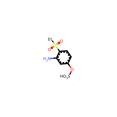 CCS(=O)(=O)c1ccc(OS(=O)(=O)O)cc1N